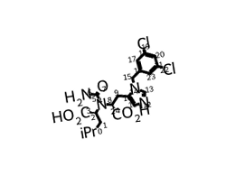 CC(C)C[C@@H](C(=O)O)N(C(N)=O)[C@@H](Cc1cncn1Cc1cc(Cl)cc(Cl)c1)C(=O)O